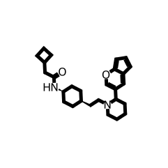 O=C(CC1CCC1)N[C@H]1CC[C@H](CCN2CCCCC2c2coc3cccc-3c2)CC1